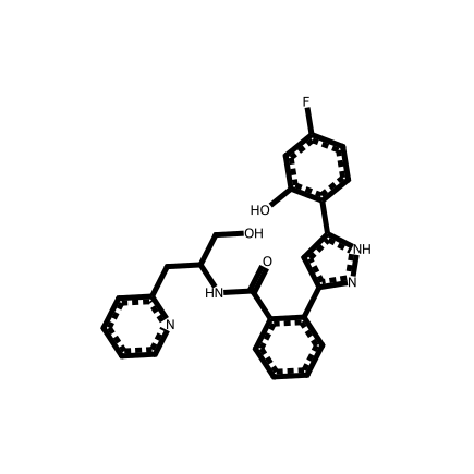 O=C(NC(CO)Cc1ccccn1)c1ccccc1-c1cc(-c2ccc(F)cc2O)[nH]n1